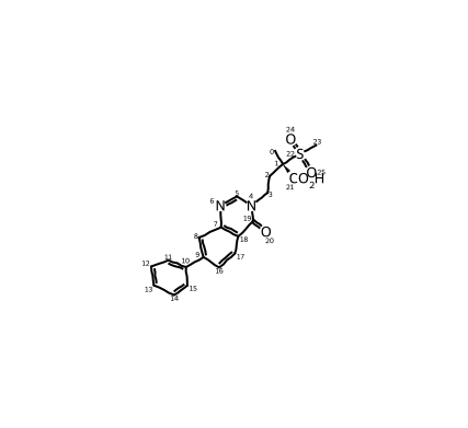 C[C@](CCn1cnc2cc(-c3ccccc3)ccc2c1=O)(C(=O)O)S(C)(=O)=O